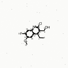 CCc1c(CO)c(Cl)nc2cc(F)c(OC)cc12